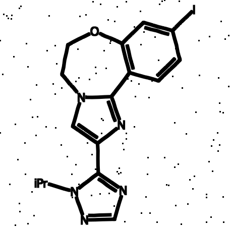 CC(C)n1ncnc1-c1cn2c(n1)-c1ccc(I)cc1OCC2